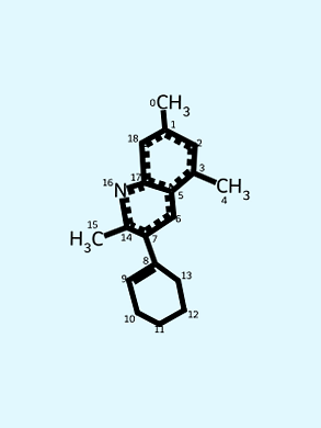 Cc1cc(C)c2cc(C3=CCCCC3)c(C)nc2c1